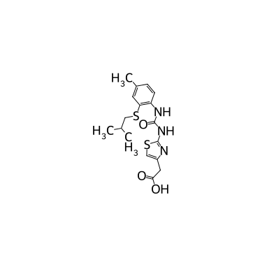 Cc1ccc(NC(=O)Nc2nc(CC(=O)O)cs2)c(SCC(C)C)c1